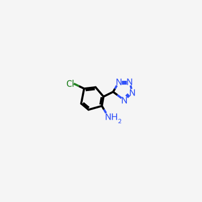 Nc1ccc(Cl)cc1C1N=NN=N1